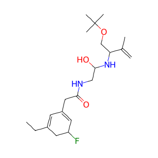 C=C(C)C(COC(C)(C)C)NC(O)CNC(=O)CC1=CC(F)CC(CC)=C1